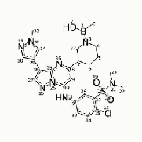 CB(O)N1CCCC(c2cc(Nc3ccc(Cl)c(S(=O)(=O)N(C)C)c3)n3ncc(-c4cnn(C)c4)c3n2)C1